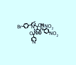 N#CC(C(=NNC(=O)c1ccncc1)C(=O)Nc1ccc([N+](=O)[O-])cc1[N+](=O)[O-])c1nc(-c2ccc(Br)cc2)cs1